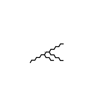 CCCCCCC([CH]C(CCCCCC)CCCCCC)CCCC